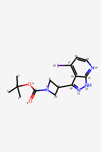 CC(C)(C)OC(=O)N1CC(c2n[nH]c3nccc(I)c23)C1